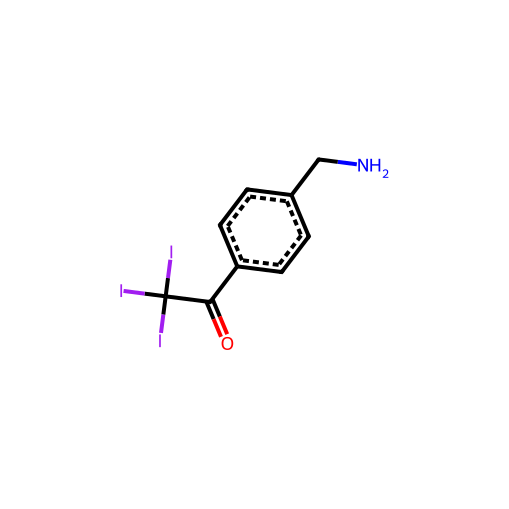 NCc1ccc(C(=O)C(I)(I)I)cc1